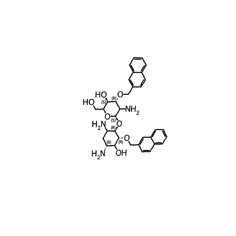 NC1[C@@H](O[C@@H]2C(N)C[C@@H](N)C(O)[C@H]2OCc2ccc3ccccc3c2)OC(CO)[C@@H](O)[C@@H]1OCc1ccc2ccccc2c1